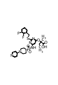 CC[C@@](C)(Oc1cc(NS(=O)(=O)N2CCN(c3ccncc3)CC2)nc(SCc2cccc(F)c2F)n1)C(=O)O